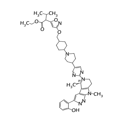 CCOC(=O)C(c1cc(OCC2CCC(N3CCC(c4cnc(N5CCc6c(c7cc(-c8ccccc8O)nnc7n6C)[C@H]5C)nc4)CC3)CC2)no1)C(C)C